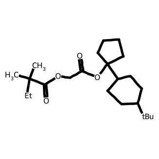 CCC(C)(C)C(=O)OCC(=O)OC1(C2CCC(C(C)(C)C)CC2)CCCC1